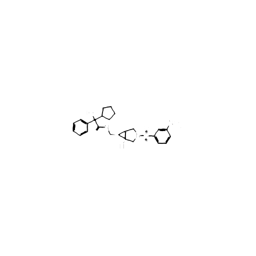 O=C(NC[C@H]1C2CN(S(=O)(=O)c3cccc([N+](=O)[O-])c3)C[C@@H]21)C(O)(c1ccccc1)C1CCCC1